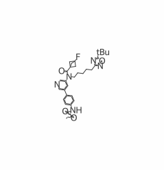 CC(C)(C)c1nc(CCCCCN(C(=O)C23CC(F)(C2)C3)c2cncc(-c3ccc(NS(C)(=O)=O)cc3)c2)no1